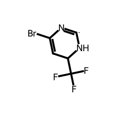 FC(F)(F)C1C=C(Br)N=[C]N1